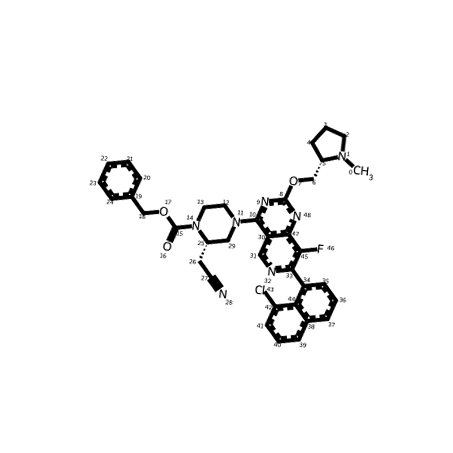 CN1CCC[C@H]1COc1nc(N2CCN(C(=O)OCc3ccccc3)[C@@H](CC#N)C2)c2cnc(-c3cccc4cccc(Cl)c34)c(F)c2n1